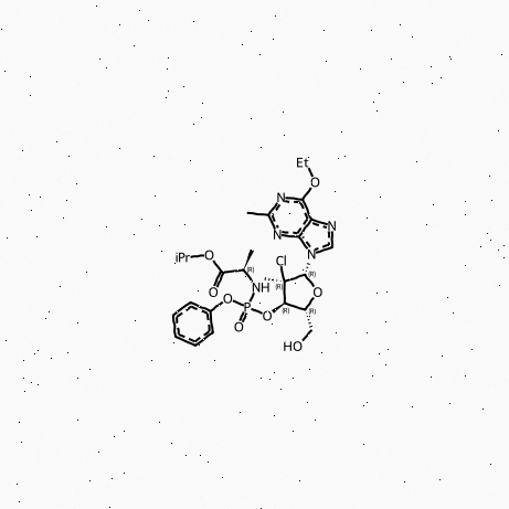 CCOc1nc(C)nc2c1ncn2[C@@H]1O[C@H](CO)[C@@H](OP(=O)(N[C@H](C)C(=O)OC(C)C)Oc2ccccc2)[C@@]1(C)Cl